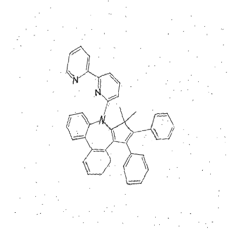 CC1(C)C(c2ccccc2)=C(c2ccccc2)C2=C1N(c1cccc(-c3ccccn3)n1)c1ccccc1C1=C2CCC=C1